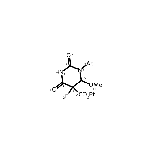 CCOC(=O)C1(F)C(=O)NC(=O)N(C(C)=O)C1OC